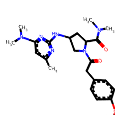 Cc1cc(N(C)C)nc(NC2CC(C(=O)N(C)C)N(C(=O)Cc3ccc(OC(F)(F)F)cc3)C2)n1